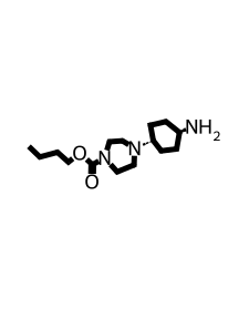 CCCCOC(=O)N1CCN([C@H]2CC[C@H](N)CC2)CC1